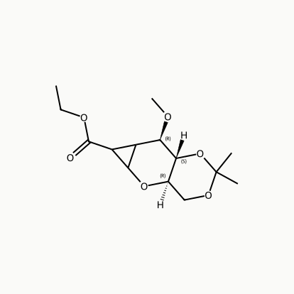 CCOC(=O)C1C2O[C@@H]3COC(C)(C)O[C@H]3[C@H](OC)C21